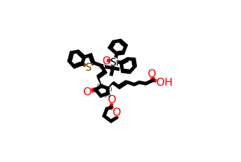 CC(C)(C)[Si](O[C@H](C=C[C@@H]1C(=O)C[C@@H](OC2CCCCO2)[C@@H]1CC=CCCCC(=O)O)c1cc2ccccc2s1)(c1ccccc1)c1ccccc1